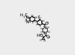 Cn1cnc2cc(-c3ccc(C(=O)N4CCN(C(=O)C5(O)CC5)CC4)cc3F)ccc21